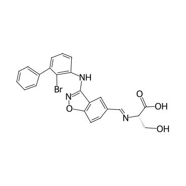 O=C(O)[C@H](CO)N=Cc1ccc2onc(Nc3cccc(-c4ccccc4)c3Br)c2c1